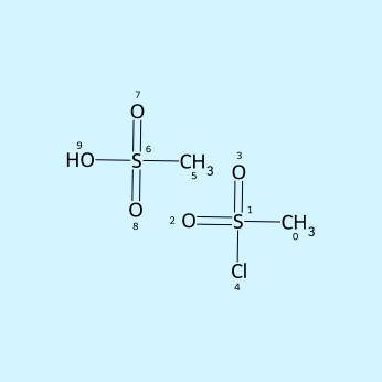 CS(=O)(=O)Cl.CS(=O)(=O)O